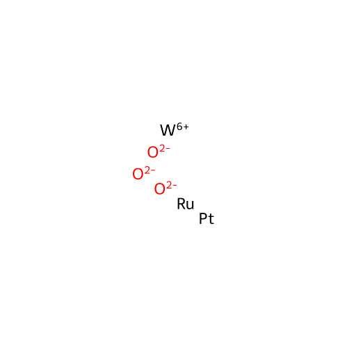 [O-2].[O-2].[O-2].[Pt].[Ru].[W+6]